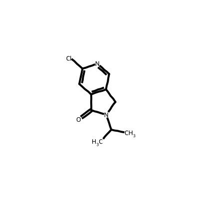 CC(C)N1Cc2cnc(Cl)cc2C1=O